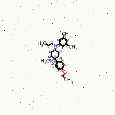 CCCN(c1cc(C)cc(C)c1)C1CCC(c2ccc(OCC)cc2)(N(C)C)CC1